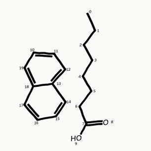 CCCCCCCC(=O)O.c1ccc2ccccc2c1